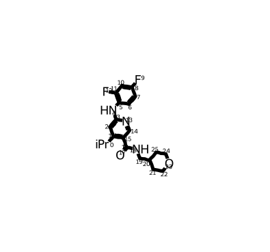 CC(C)c1cc(Nc2ccc(F)cc2F)ncc1C(=O)NCC1CCOCC1